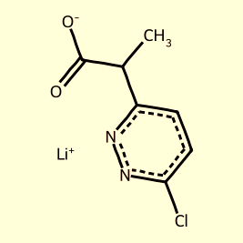 CC(C(=O)[O-])c1ccc(Cl)nn1.[Li+]